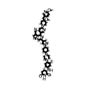 COc1ccc(CC2(OC)CCN(c3ccc(-c4nc(-c5cnn(C6CCC(N7CCN(c8ccc(NC9CCC(=O)NC9=O)cc8F)CC7)CC6)c5)cn5ncc(C#N)c45)cn3)CC2)cn1